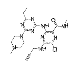 C#CCNc1nc(Nc2nc(CC)nc(N3CCN(C)CC3)n2)c(C(=O)NC)nc1Cl